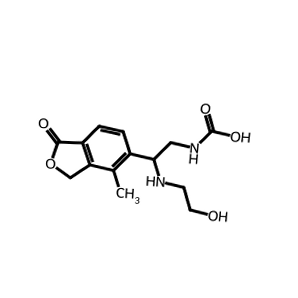 Cc1c(C(CNC(=O)O)NCCO)ccc2c1COC2=O